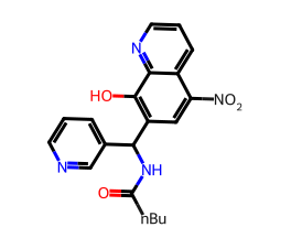 CCCCC(=O)NC(c1cccnc1)c1cc([N+](=O)[O-])c2cccnc2c1O